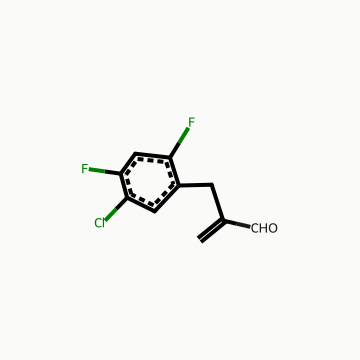 C=C(C=O)Cc1cc(Cl)c(F)cc1F